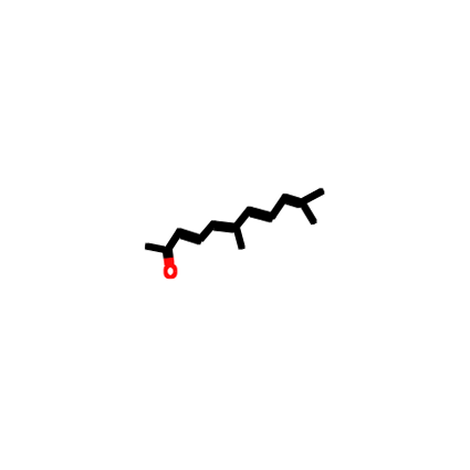 CC(=O)/C=C/C=C(C)/C=C/C=C(C)C